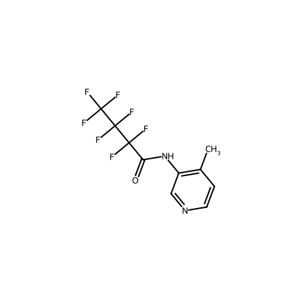 Cc1ccncc1NC(=O)C(F)(F)C(F)(F)C(F)(F)F